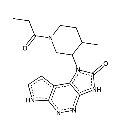 CCC(=O)N1CCC(C)C(n2c(=O)[nH]c3nnc4[nH]ccc4c32)C1